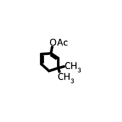 CC(=O)OC1=CC(C)(C)CC=C1